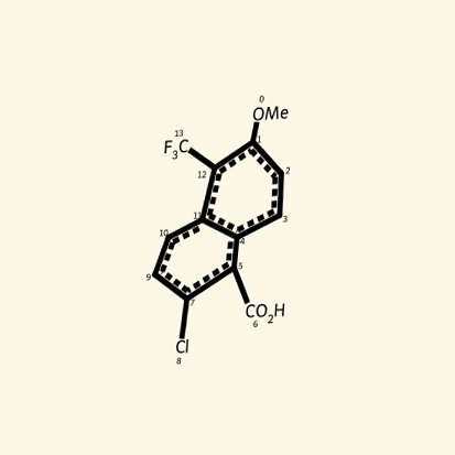 COc1ccc2c(C(=O)O)c(Cl)ccc2c1C(F)(F)F